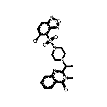 CC(c1nc2ccccc2c(=O)n1C)N1CCN(S(=O)(=O)c2c(Cl)ccc3nonc23)CC1